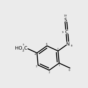 Cc1ccc(C(=O)O)cc1N=C=S